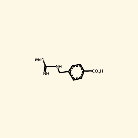 CNC(=N)NCc1ccc(C(=O)O)cc1